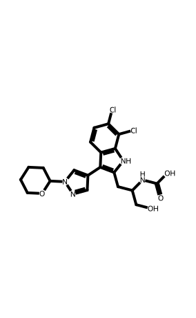 O=C(O)NC(CO)Cc1[nH]c2c(Cl)c(Cl)ccc2c1-c1cnn(C2CCCCO2)c1